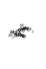 Cc1ccc(NC(=O)N2CC[C@H](OC(F)(F)F)C2)cc1-c1cc(O[C@H](C)CO)nc(N2CCOCC2)c1